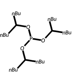 CCCCC(CCCC)OP(OC(CCCC)CCCC)OC(CCCC)CCCC